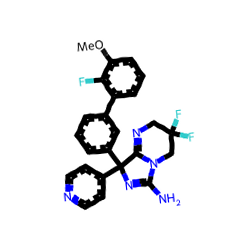 COc1cccc(-c2cccc(C3(c4ccncc4)N=C(N)N4CC(F)(F)CN=C43)c2)c1F